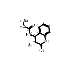 CCC1Nc2ccccc2C(NC(=O)OC(C)(C)C)[C@H]1CC